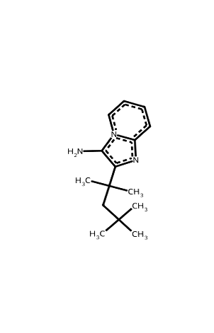 CC(C)(C)CC(C)(C)c1nc2ccccn2c1N